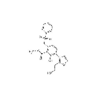 COC(=O)c1c(CS(=O)(=O)c2ccccc2)ccc(-c2ccoc2CCO)c1O